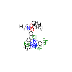 CN(Cc1ccc(Cl)c(-c2ccc(C(F)(F)F)cc2CN(Cc2cc(C(F)(F)F)cc(C(F)(F)F)c2)c2nnn(C)n2)c1)C(=O)OC(C)(C)C